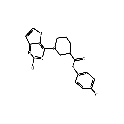 O=C(Nc1ccc(Cl)cc1)C1CCCN(c2nc(Cl)nc3ccsc23)C1